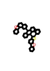 c1ccc(-c2sc3c(ccc4c5ccccc5oc43)c2-c2c3ccccc3c(-c3ccc4ccc5oc6ccccc6c5c4c3)c3ccccc23)cc1